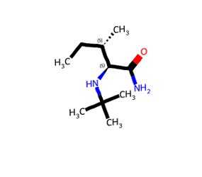 CC[C@H](C)[C@H](NC(C)(C)C)C(N)=O